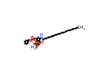 CC#CC#CC#CC#CC#CC#CC#CC#CC#CC#CC(=S)N[C@@H]1C[C@H](COC(=O)OCc2ccccc2)C(OP(=O)(O)OC)[C@@H]1OC